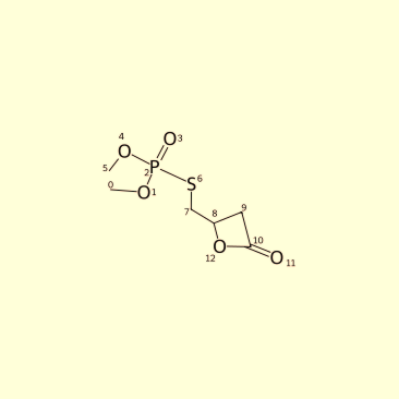 COP(=O)(OC)SCC1CC(=O)O1